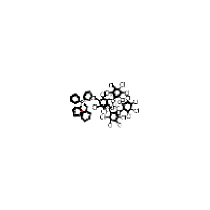 Clc1c(Cl)c(Cl)c([O][Al-]([O]c2c(Cl)c(Cl)c(Cl)c(Cl)c2Cl)([O]c2c(Cl)c(Cl)c(Cl)c(Cl)c2Cl)[O]c2c(Cl)c(Cl)c(Cl)c(Cl)c2Cl)c(Cl)c1Cl.c1ccc(C[P+](c2ccccc2)(c2ccccc2)c2ccccc2)cc1